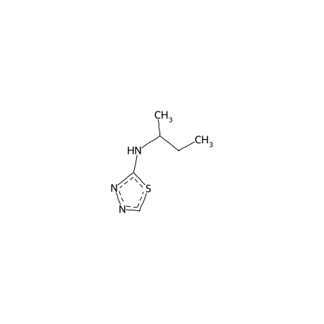 CCC(C)Nc1nncs1